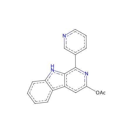 CC(=O)Oc1cc2c([nH]c3ccccc32)c(-c2cccnc2)n1